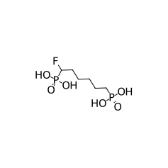 O=P(O)(O)CCCCCC(F)P(=O)(O)O